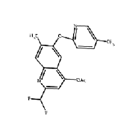 CC(=O)Oc1cc(C(F)F)nc2cc(C)c(Oc3ccc(C(F)(F)F)cn3)cc12